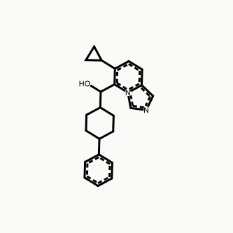 OC(c1c(C2CC2)ccc2cncn12)C1CCC(c2ccccc2)CC1